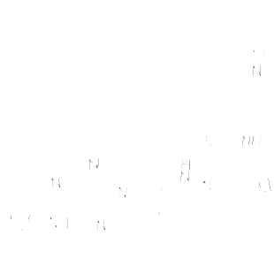 CN1CCC(NC(=O)c2c(Cl)ccn2NC(=O)Cn2cnc3c(NC(=O)O)ncnc32)CC1